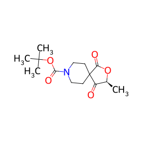 C[C@@H]1OC(=O)C2(CCN(C(=O)OC(C)(C)C)CC2)C1=O